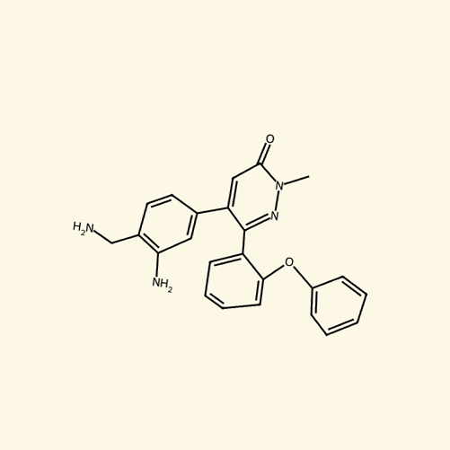 Cn1nc(-c2ccccc2Oc2ccccc2)c(-c2ccc(CN)c(N)c2)cc1=O